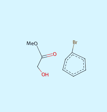 Brc1ccccc1.COC(=O)CO